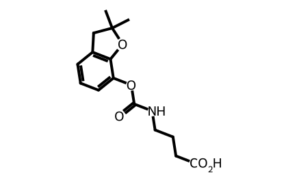 CC1(C)Cc2cccc(OC(=O)NCCCC(=O)O)c2O1